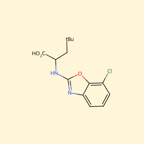 CC(C)(C)CC(Nc1nc2cccc(Cl)c2o1)C(=O)O